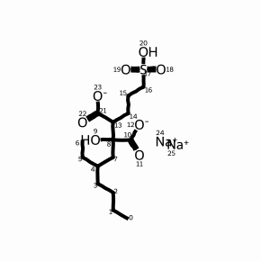 CCCCC(CC)CC(O)(C(=O)[O-])C(CCCS(=O)(=O)O)C(=O)[O-].[Na+].[Na+]